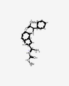 COC(=O)C(Oc1cccc2sc(/C(N)=N/C(=O)OC(C)(C)C)cc12)c1ccccc1